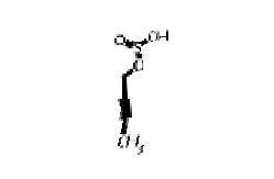 CC#CCOS(=O)O